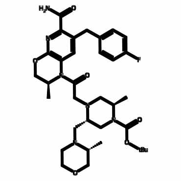 C[C@@H]1COCCN1C[C@H]1CN(C(=O)OC(C)(C)C)[C@H](C)CN1CC(=O)N1c2cc(Cc3ccc(F)cc3)c(C(N)=O)nc2OC[C@@H]1C